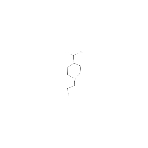 NC(O)C1CCN(CCF)CC1